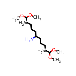 COC(OC)[SiH2]CCCC(N)CCC[SiH2]C(OC)OC